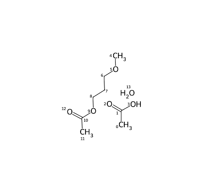 CC(=O)O.COCCCOC(C)=O.O